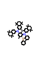 Cc1cc2c3c(c1)N(c1cccc4c1sc1ccccc14)c1cc4c(cc1B3c1cc3c(cc1N2c1ccc2c(c1)C(C)(C)CCC2(C)C)C(C)(C)CCC3(C)C)C(C)(C)CCC4(C)C